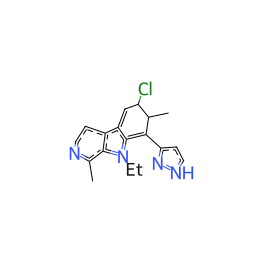 CCn1c2c(c3ccnc(C)c31)=CC(Cl)C(C)C=2c1cc[nH]n1